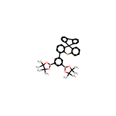 CC1(C)OB(c2cc(B3OC(C)(C)C(C)(C)O3)cc(-c3cccc4c3Sc3ccccc3C43c4ccccc4-c4ccccc43)c2)OC1(C)C